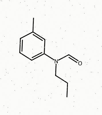 CCCN(C=O)c1cccc(C)c1